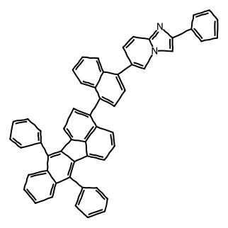 c1ccc(-c2cn3cc(-c4ccc(-c5ccc6c7c(cccc57)-c5c-6c(-c6ccccc6)c6ccccc6c5-c5ccccc5)c5ccccc45)ccc3n2)cc1